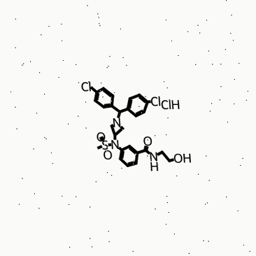 CS(=O)(=O)N(c1cccc(C(=O)NCCO)c1)C1CN(C(c2ccc(Cl)cc2)c2ccc(Cl)cc2)C1.Cl